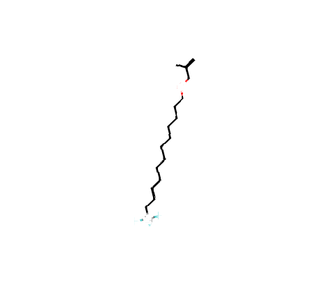 C=C(C)COCCCCCCCCCCCC[Si](F)(F)F